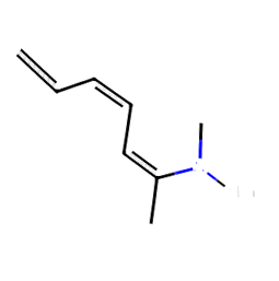 C=C/C=C\C=C(\C)N(C)CCCC